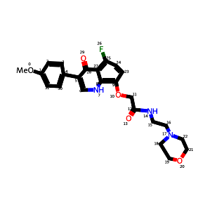 COc1ccc(-c2c[nH]c3c(OCC(=O)NCCN4CCOCC4)ccc(F)c3c2=O)cc1